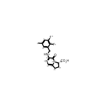 Cc1cc(F)c(F)c(CNc2ncc3n(c2=O)[C@H](C(=O)O)CC3)c1